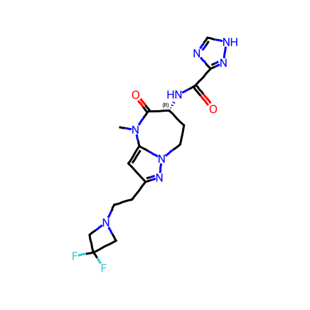 CN1C(=O)[C@H](NC(=O)c2nc[nH]n2)CCn2nc(CCN3CC(F)(F)C3)cc21